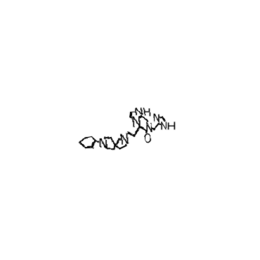 O=C(CCCN1CCC2(CCN(C3CCCCC3)CC2)C1)N(Cc1ncc[nH]1)Cc1ncc[nH]1